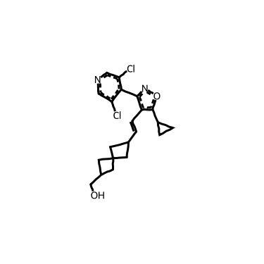 OCC1CC2(CC(C=Cc3c(-c4c(Cl)cncc4Cl)noc3C3CC3)C2)C1